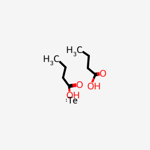 CCCC(=O)O.CCCC(=O)O.[Te]